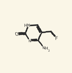 Nc1nc(=O)[nH]cc1CF